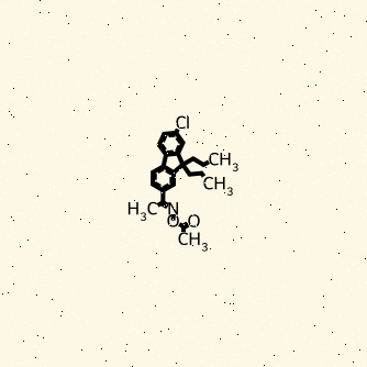 CCCC1(CCC)c2cc(Cl)ccc2-c2ccc(C(C)=NOC(C)=O)cc21